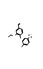 CCOc1cc(C=O)ccc1C.Cc1ccc(S(=O)(=O)O)cc1